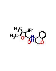 Cc1oc(C(=O)N[C@H]2CCOc3ccccc32)c(C(C)C)c1C